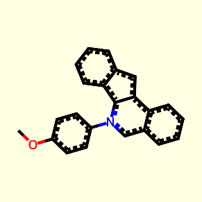 COc1ccc(-n2cc3ccccc3c3cc4ccccc4c2-3)cc1